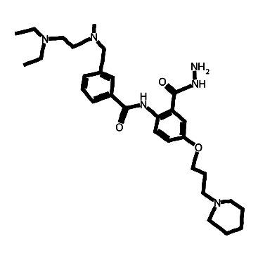 CCN(CC)CCN(C)Cc1cccc(C(=O)Nc2ccc(OCCCN3CCCCC3)cc2C(=O)NN)c1